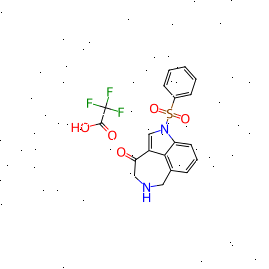 O=C(O)C(F)(F)F.O=C1CNCc2cccc3c2c1cn3S(=O)(=O)c1ccccc1